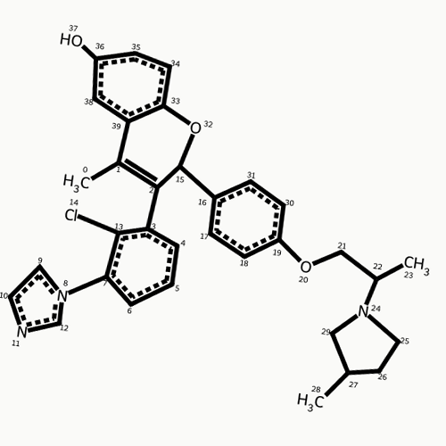 CC1=C(c2cccc(-n3ccnc3)c2Cl)C(c2ccc(OCC(C)N3CCC(C)C3)cc2)Oc2ccc(O)cc21